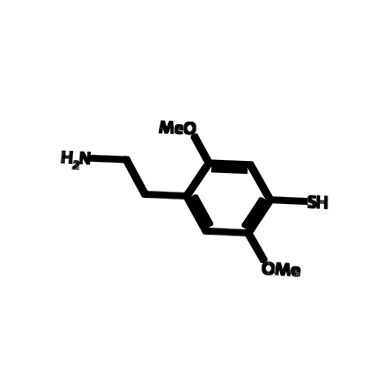 COc1cc(CCN)c(OC)cc1S